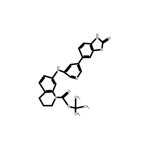 CC(C)(C)OC(=O)N1CCCc2ccc(Nc3cncc(-c4ccc5[nH]c(=O)oc5c4)c3)cc21